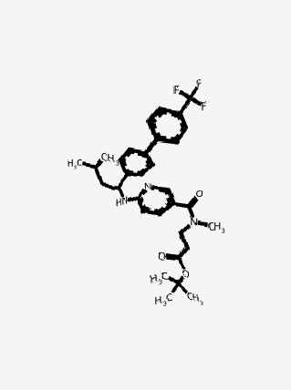 CC(C)CC(Nc1ccc(C(=O)N(C)CCC(=O)OC(C)(C)C)cn1)c1ccc(-c2ccc(C(F)(F)F)cc2)cc1